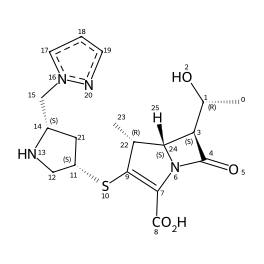 C[C@@H](O)[C@H]1C(=O)N2C(C(=O)O)=C(S[C@@H]3CN[C@H](Cn4cccn4)C3)[C@H](C)[C@H]12